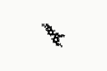 CC(C)n1nc(-c2ccc3oc(N)nc3c2)c2cnc(N)nc21